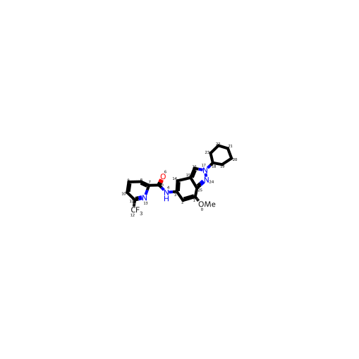 COc1cc(NC(=O)c2cccc(C(F)(F)F)n2)cc2cn(C3CCCCC3)nc12